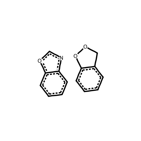 c1ccc2c(c1)COO2.c1ccc2ocnc2c1